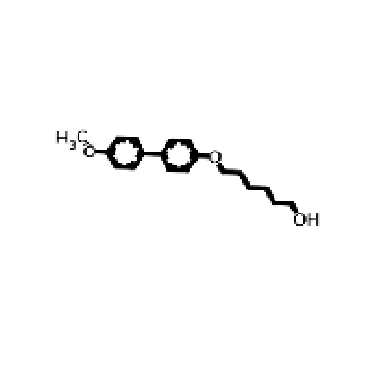 COc1ccc(-c2ccc(OCCCCCCO)cc2)cc1